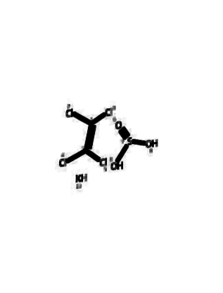 ClC(Cl)=C(Cl)Cl.O=S(O)O.[KH]